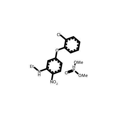 CCNc1cc(Oc2ccccc2Cl)ccc1[N+](=O)[O-].CO[PH](=O)OC